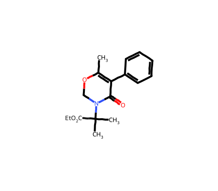 CCOC(=O)C(C)(C)N1COC(C)=C(c2ccccc2)C1=O